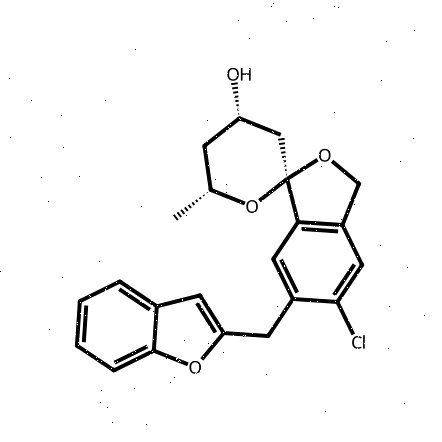 C[C@@H]1C[C@H](O)C[C@@]2(OCc3cc(Cl)c(Cc4cc5ccccc5o4)cc32)O1